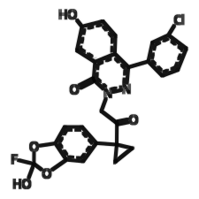 O=C(Cn1nc(-c2cccc(Cl)c2)c2ccc(O)cc2c1=O)C1(c2ccc3c(c2)OC(O)(F)O3)CC1